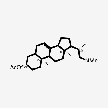 CNC[C@@H](C)C1CCC2C3=CCC4C[C@@H](OC(C)=O)CC[C@]4(C)C3CC[C@@]21C